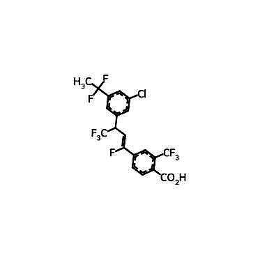 CC(F)(F)c1cc(Cl)cc(C(C=C(F)c2ccc(C(=O)O)c(C(F)(F)F)c2)C(F)(F)F)c1